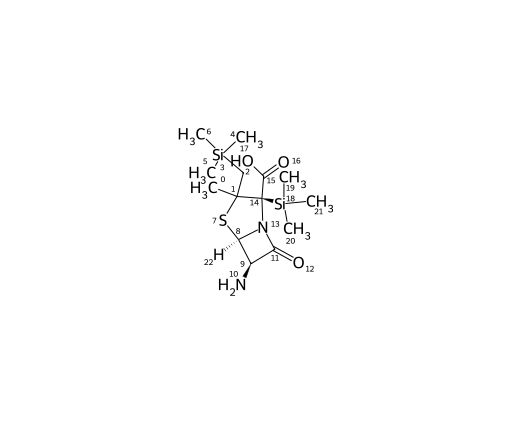 CC1(C[Si](C)(C)C)S[C@@H]2[C@H](N)C(=O)N2[C@]1(C(=O)O)[Si](C)(C)C